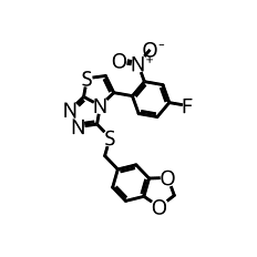 O=[N+]([O-])c1cc(F)ccc1-c1csc2nnc(SCc3ccc4c(c3)OCO4)n12